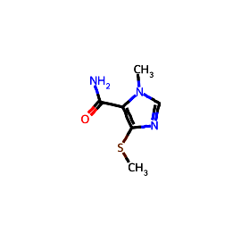 CSc1ncn(C)c1C(N)=O